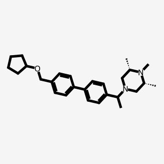 CC(c1ccc(-c2ccc(COC3CCCC3)cc2)cc1)N1C[C@@H](C)N(C)[C@@H](C)C1